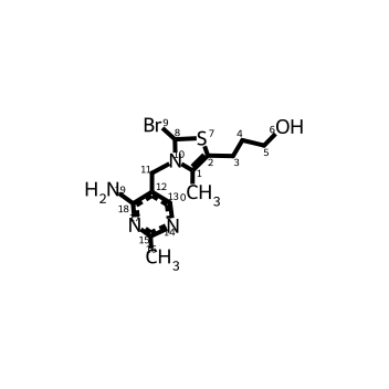 CC1=C(CCCO)SC(Br)N1Cc1cnc(C)nc1N